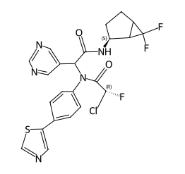 O=C(N[C@H]1CCC2C1C2(F)F)C(c1cncnc1)N(C(=O)[C@H](F)Cl)c1ccc(-c2cncs2)cc1